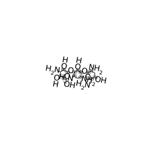 NC[C@H]1O[C@H](O[C@H]2[C@H](O)[C@@H](O[C@H]3O[C@H](CO)[C@@H](O)C(N)[C@H]3O)[C@H](N)C[C@@H]2N)[C@H](N)C[C@@H]1O